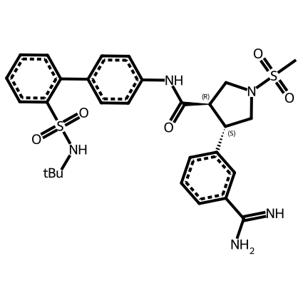 CC(C)(C)NS(=O)(=O)c1ccccc1-c1ccc(NC(=O)[C@H]2CN(S(C)(=O)=O)C[C@@H]2c2cccc(C(=N)N)c2)cc1